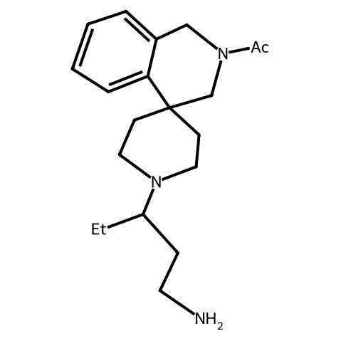 CCC(CCN)N1CCC2(CC1)CN(C(C)=O)Cc1ccccc12